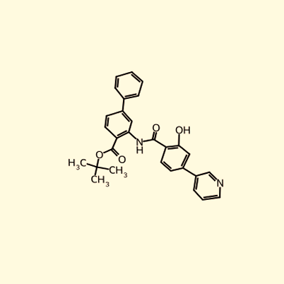 CC(C)(C)OC(=O)c1ccc(-c2ccccc2)cc1NC(=O)c1ccc(-c2cccnc2)cc1O